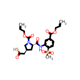 C=CCOC(=O)c1ccc(S(C)(=O)=O)c(NC(=O)[C@@H]2C[C@@H](CC(=O)S)CN2C(=O)OCC=C)c1